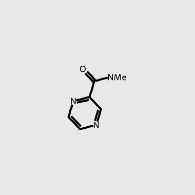 CNC(=O)c1cnccn1